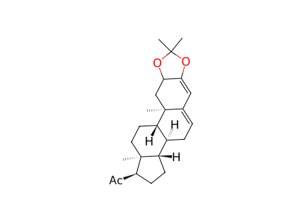 CC(=O)[C@@H]1CC[C@H]2[C@@H]3CC=C4C=C5OC(C)(C)OC5C[C@]4(C)[C@H]3CC[C@]12C